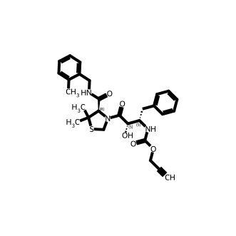 C#CCOC(=O)N[C@@H](Cc1ccccc1)[C@H](O)C(=O)N1CSC(C)(C)[C@H]1C(=O)NCc1ccccc1C